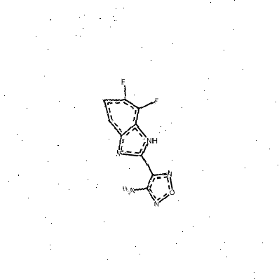 Nc1nonc1-c1nc2ccc(F)c(F)c2[nH]1